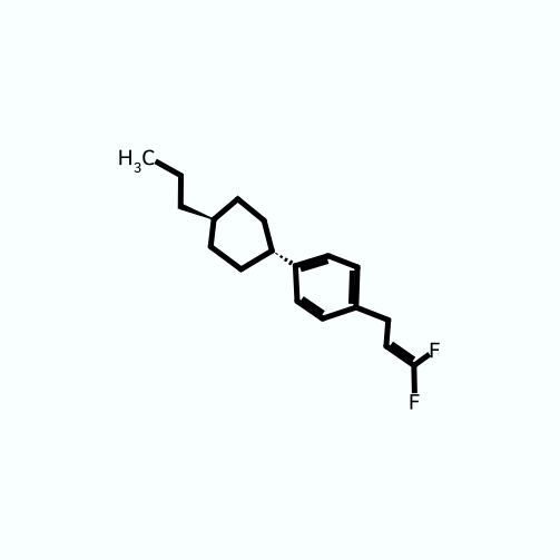 CCC[C@H]1CC[C@H](c2ccc(CC=C(F)F)cc2)CC1